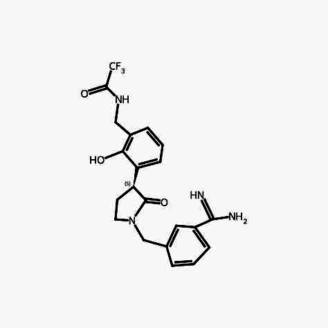 N=C(N)c1cccc(CN2CC[C@@H](c3cccc(CNC(=O)C(F)(F)F)c3O)C2=O)c1